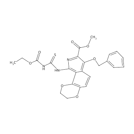 CCOC(=O)NC(=S)Nc1nc(C(=O)OC)c(OCc2ccccc2)c2ccc3c(c12)OCCO3